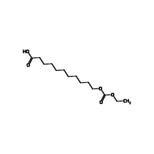 CCOC(=O)OCCCCCCCCCCC(=O)O